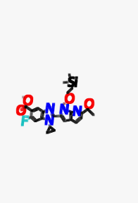 COC(=O)c1cc2nc(-c3cc4ccc(C(C)=O)nc4n3COCC[Si](C)(C)C)n(C3CC3)c2cc1F